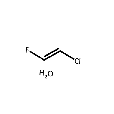 FC=CCl.O